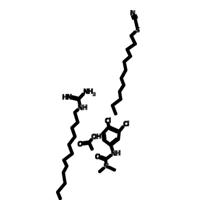 CC(=O)O.CCCCCCCCCCCCNC(=N)N.CCCCCCCCCCCCSC#N.CN(C)C(=O)Nc1ccc(Cl)c(Cl)c1